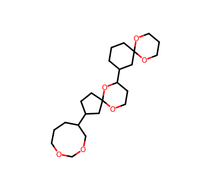 C1COC2(CCCC(C3CCOC4(CCC(C5CCCOCOC5)C4)O3)C2)OC1